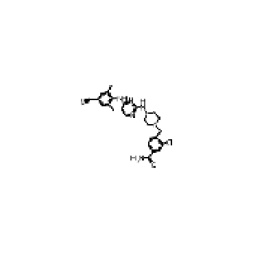 Cc1cc(C#N)cc(C)c1Nc1ccnc(NC2CCN(Cc3ccc(C(N)=O)cc3Cl)CC2)n1